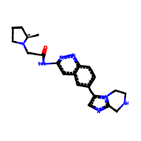 C[C@@H]1CCCN1CC(=O)Nc1cc2cc(-c3cnc4n3CCNC4)ccc2nn1